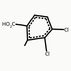 Cc1c(C(=O)O)ccc(Cl)c1Cl